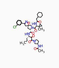 CCC[C@H](NC(=O)[C@@H]1C[C@]2(CC(c3cccc(Cl)c3)=NO2)CN1C(=O)[C@@H](NC(=O)CC1CCCCC1)C1(C)CC1)C(=O)C(=O)N1CC[C@@H](NC(C)=O)C1